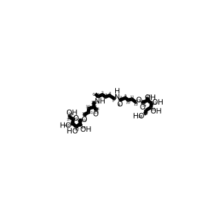 CC(CCCCNC(=O)CCCCOC1OC(CO)C(O)C(O)C1O)NCC(C=O)CCCOC1OC(CO)C(O)C(O)C1O